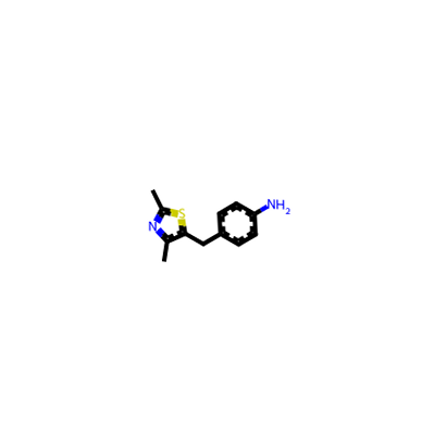 Cc1nc(C)c(Cc2ccc(N)cc2)s1